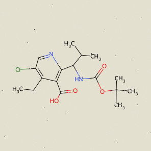 CCc1c(Cl)cnc(C(NC(=O)OC(C)(C)C)C(C)C)c1C(=O)O